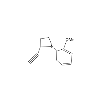 C#CC1CCN1c1ccccc1OC